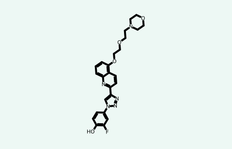 Oc1ccc(-n2cc(-c3ccc4c(OCCOCCN5CCOCC5)cccc4n3)nn2)cc1F